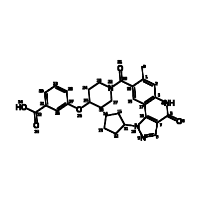 Cc1cc2[nH]c(=O)c3cnn(C4CCCC4)c3c2cc1C(=O)N1CCC(Oc2cccc(C(=O)O)c2)CC1